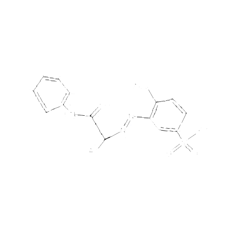 CC(=O)Oc1ccc(S(=O)(=O)Cl)cc1/N=N/C(C(C)=O)C(=O)Nc1ccccc1